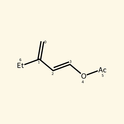 C=C(C=COC(C)=O)CC